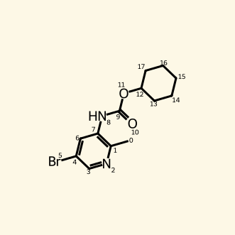 Cc1ncc(Br)cc1NC(=O)OC1CCCCC1